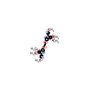 CCOc1cc2c(cc1OC)C(c1ccc(OC)nc1)=N[C@@H]1CC[C@@H](OC(=O)/C=C/C(=O)O[C@@H]3CC[C@H]4N=C(c5ccc(OC)nc5)c5cc(OC)c(OCC)cc5[C@H]4C3)C[C@H]21